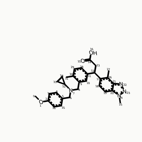 COc1ccc(CN(Cc2cc(C(CC(=O)O)c3ccc4c(nnn4C)c3C)ccc2C)C2CC2)cc1